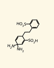 NC1(N)C=CC(CCc2ccccc2S(=O)(=O)O)C(S(=O)(=O)O)=C1